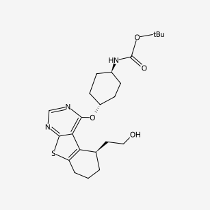 CC(C)(C)OC(=O)N[C@H]1CC[C@H](Oc2ncnc3sc4c(c23)[C@@H](CCO)CCC4)CC1